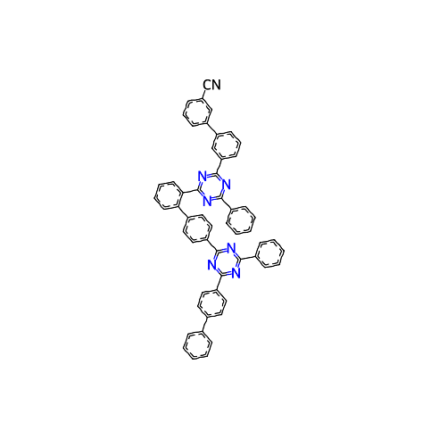 N#Cc1cccc(-c2cccc(-c3nc(-c4ccccc4)nc(-c4ccccc4-c4ccc(-c5nc(-c6ccccc6)nc(-c6ccc(-c7ccccc7)cc6)n5)cc4)n3)c2)c1